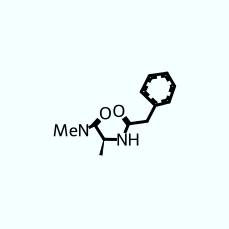 CNC(=O)[C@H](C)NC(=O)Cc1ccccc1